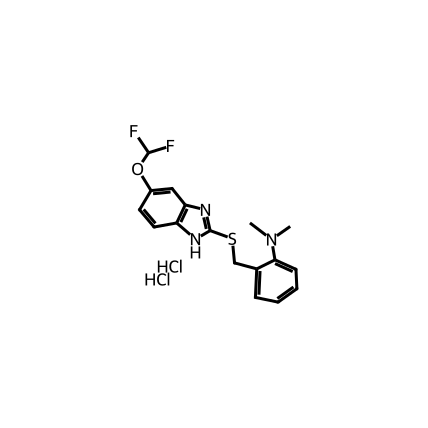 CN(C)c1ccccc1CSc1nc2cc(OC(F)F)ccc2[nH]1.Cl.Cl